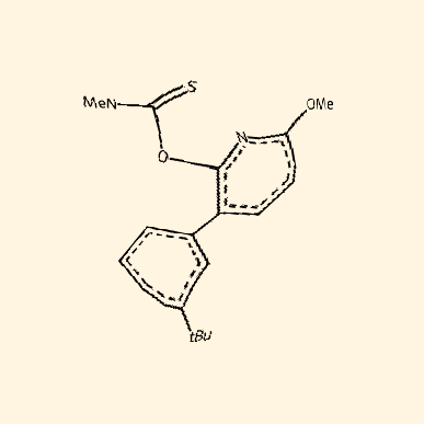 CNC(=S)Oc1nc(OC)ccc1-c1cccc(C(C)(C)C)c1